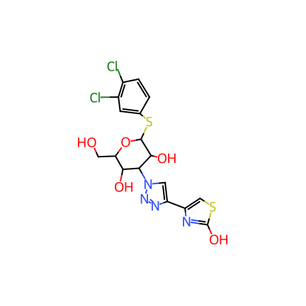 OCC1OC(Sc2ccc(Cl)c(Cl)c2)C(O)C(n2cc(-c3csc(O)n3)nn2)C1O